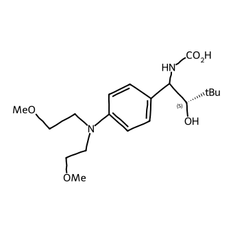 COCCN(CCOC)c1ccc(C(NC(=O)O)[C@@H](O)C(C)(C)C)cc1